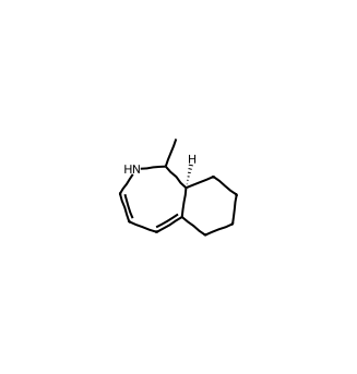 CC1NC=CC=C2CCCC[C@@H]21